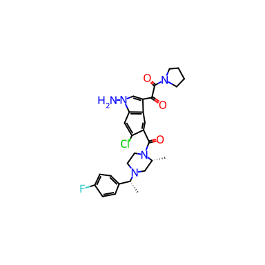 C[C@H](c1ccc(F)cc1)N1CCN(C(=O)c2cc3c(C(=O)C(=O)N4CCCC4)cn(N)c3cc2Cl)[C@H](C)C1